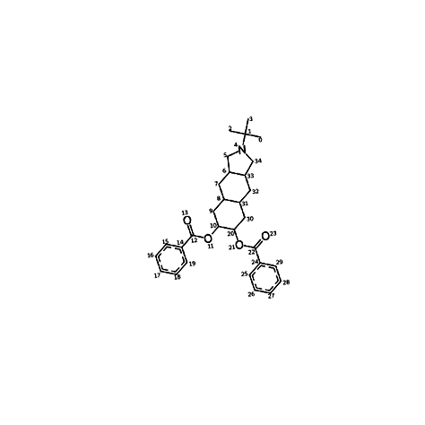 CC(C)(C)N1CC2CC3CC(OC(=O)c4ccccc4)C(OC(=O)c4ccccc4)CC3CC2C1